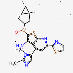 Cc1ncc(-c2cc(-c3nccs3)nc3sc([S+]([O-])C4CC5C[C@@H]5C4)c(N)c23)n1C